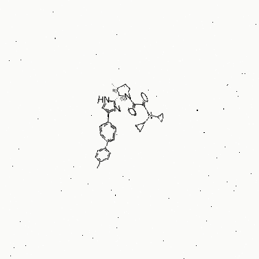 Cc1ccc(-c2ccc(-c3c[nH]c([C@@H]4[C@H](C)CCN4C(=O)C(=O)N(C4CC4)C4CC4)n3)cc2)cc1